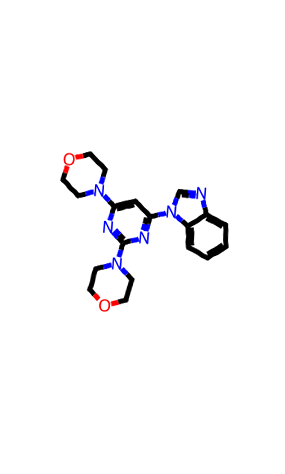 c1ccc2c(c1)ncn2-c1cc(N2CCOCC2)nc(N2CCOCC2)n1